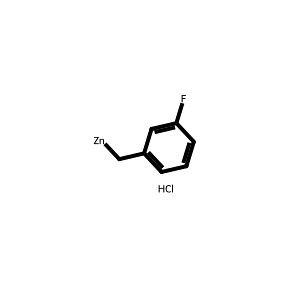 Cl.Fc1cccc([CH2][Zn])c1